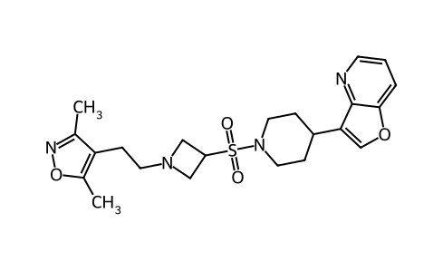 Cc1noc(C)c1CCN1CC(S(=O)(=O)N2CCC(c3coc4cccnc34)CC2)C1